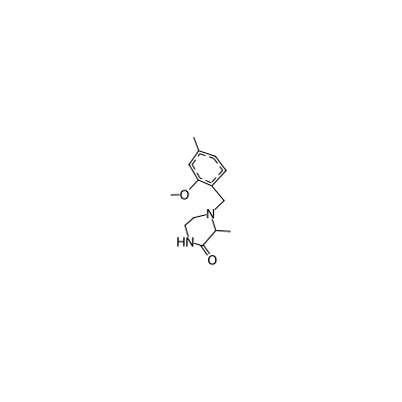 COc1cc(C)ccc1CN1CCNC(=O)C1C